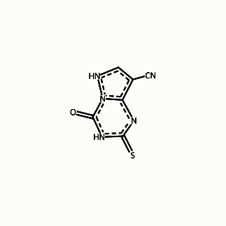 N#Cc1c[nH]n2c(=O)[nH]c(=S)nc12